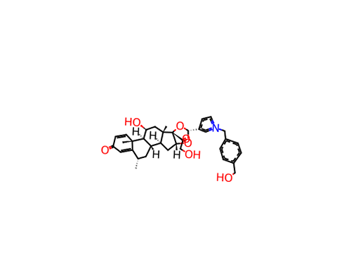 C[C@H]1C[C@@H]2[C@H]([C@@H](O)C[C@@]3(C)[C@H]2C[C@H]2O[C@@H](c4ccn(Cc5ccc(CO)cc5)c4)O[C@]23C(=O)CO)[C@@]2(C)C=CC(=O)C=C12